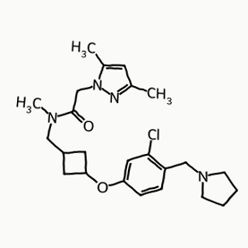 Cc1cc(C)n(CC(=O)N(C)CC2CC(Oc3ccc(CN4CCCC4)c(Cl)c3)C2)n1